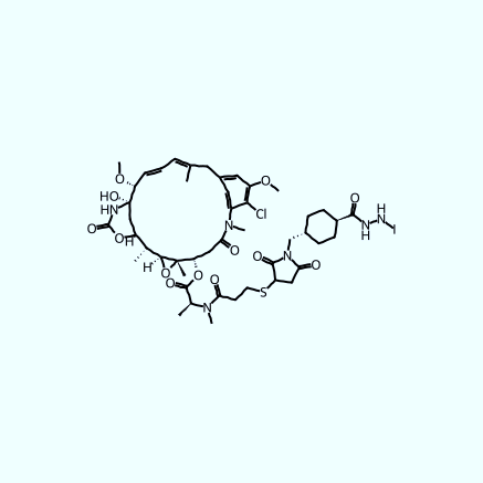 COc1cc2cc(c1Cl)N(C)C(=O)C[C@H](OC(=O)[C@H](C)N(C)C(=O)CCSC1CC(=O)N(C[C@H]3CC[C@H](C(=O)NNI)CC3)C1=O)[C@]1(C)O[C@H]1[C@H](C)[C@@H]1C[C@@](O)(NC(=O)O1)[C@H](OC)/C=C/C=C(\C)C2